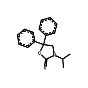 CC(C)N1CC(c2ccccc2)(c2ccccc2)OC1=S